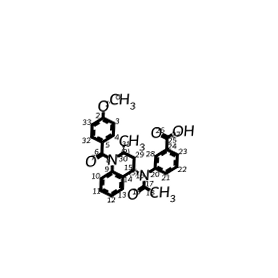 COc1ccc(C(=O)N2c3ccccc3[C@@H](N(C(C)=O)c3cccc(C(=O)O)c3)C[C@H]2C)cc1